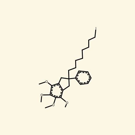 COc1c2c(c(OC)c(OC)c1OC)CC(CCCCCCCCI)(c1ccccc1)C2